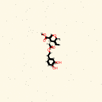 C/C=C1\[C@H](C)OC=C(C(=O)OC)[C@H]1CC(=O)OCCc1ccc(O)c(O)c1